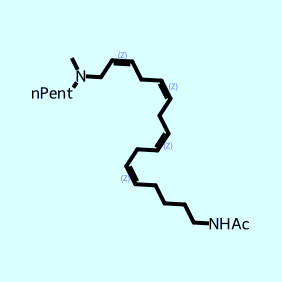 CCCCCN(C)C/C=C\C/C=C\C/C=C\C/C=C\CCCCNC(C)=O